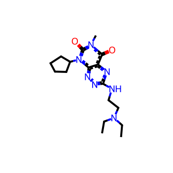 CCN(CC)CCNc1nnc2c(n1)c(=O)n(C)c(=O)n2C1CCCC1